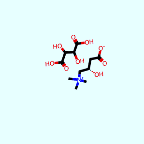 C[N+](C)(C)C[C@@H](O)CC(=O)[O-].O=C(O)C(O)C(O)C(=O)O